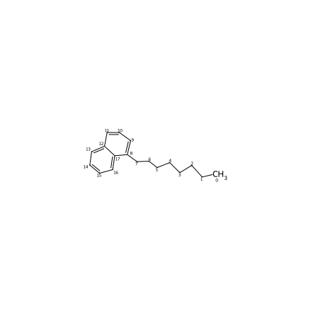 CCCCCCCCc1cccc2ccccc12